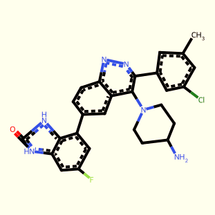 Cc1cc(Cl)cc(-c2nnc3ccc(-c4cc(F)cc5[nH]c(=O)[nH]c45)cc3c2N2CCC(N)CC2)c1